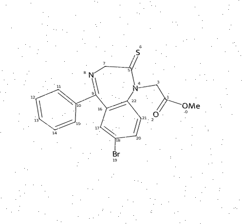 COC(=O)CN1C(=S)CN=C(c2ccccc2)c2cc(Br)ccc21